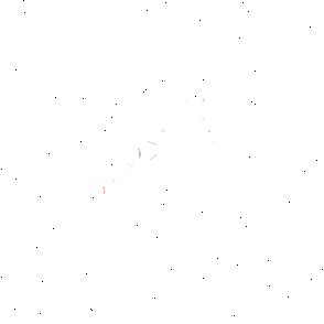 CC(=O)N1CCN(c2ccc(S(=O)(=O)C3CC(C(=O)O)C(C(=O)N4CC(F)(F)C4)C3)c(C(F)(F)F)c2)CC1